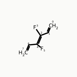 C=CC(F)=C(F)C=C